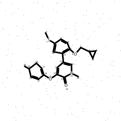 CSc1ccc(OCC2CC2)c(-c2cc(OC3=CCC(C)C=C3)c(=O)n(C)c2)c1